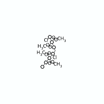 CCOC(=O)c1cc(-c2ccccc2Cl)c(C(=O)OCC)cc1-c1ccc(Cc2ccc(-c3cc(C(=O)OCC)c(-c4ccc(-c5ccccc5)cc4)cc3C(=O)OCC)c(Cl)c2)cc1